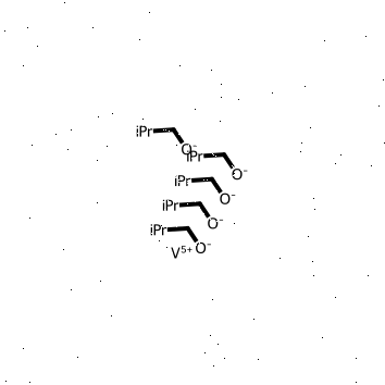 CC(C)C[O-].CC(C)C[O-].CC(C)C[O-].CC(C)C[O-].CC(C)C[O-].[V+5]